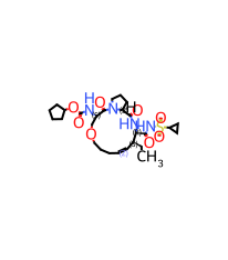 CC[C@H]1/C=C\CCCOC[C@H](NC(=O)OC2CCCC2)C(=O)N2CCC[C@H]2C(=O)N[C@H]1C(=O)NS(=O)(=O)C1CC1